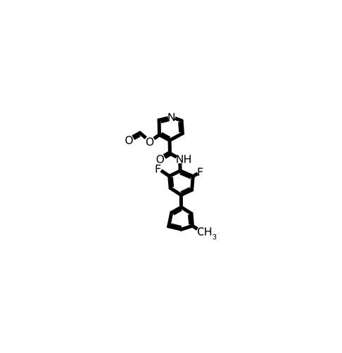 Cc1cccc(-c2cc(F)c(NC(=O)c3ccncc3OC=O)c(F)c2)c1